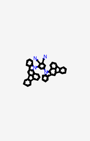 N#Cc1cc(-n2c3ccccc3c3cc4c5c(cccc5c32)-c2ccccc2-4)cc(-n2c3ccccc3c3cc4c5c(cccc5c32)-c2ccccc2-4)c1C#N